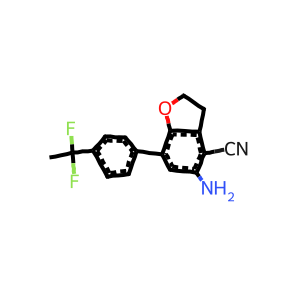 CC(F)(F)c1ccc(-c2cc(N)c(C#N)c3c2OCC3)cc1